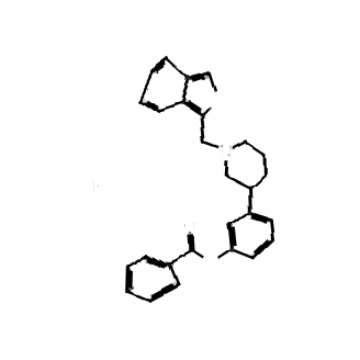 Cl.O=C(Oc1cccc(C2CCCN(Cc3occ4ccccc34)C2)c1)c1ccccc1